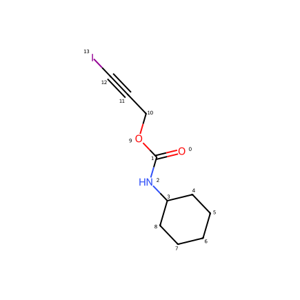 O=C(NC1CCCCC1)OCC#CI